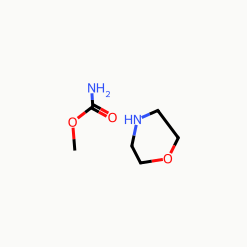 C1COCCN1.COC(N)=O